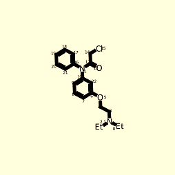 CCN(CC)CCOc1cccc(N(C(=O)CCl)c2ccccc2)c1